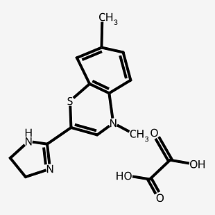 Cc1ccc2c(c1)SC(C1=NCCN1)=CN2C.O=C(O)C(=O)O